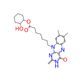 C=c1nc2c(c(=O)[nH]1)=Nc1cc(C)c(C)cc1N2CCCCCCC(=O)OC1CCCCC1O